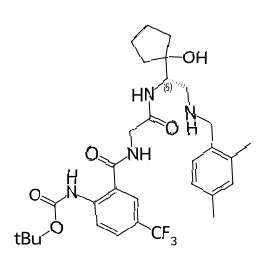 Cc1ccc(CNC[C@H](NC(=O)CNC(=O)c2cc(C(F)(F)F)ccc2NC(=O)OC(C)(C)C)C2(O)CCCC2)c(C)c1